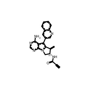 C#CC(=O)N[C@@H]1Cn2c(c(-c3cnc4ccccc4c3)c3c(N)ncnc32)C1=C